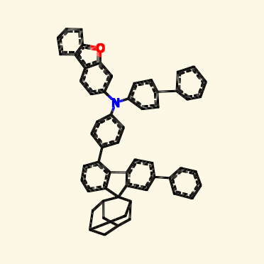 c1ccc(-c2ccc(N(c3ccc(-c4cccc5c4-c4ccc(-c6ccccc6)cc4C54C5CC6CC(C5)CC4C6)cc3)c3ccc4c(c3)oc3ccccc34)cc2)cc1